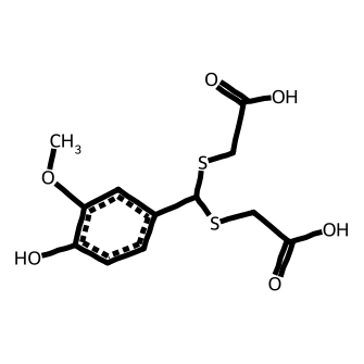 COc1cc(C(SCC(=O)O)SCC(=O)O)ccc1O